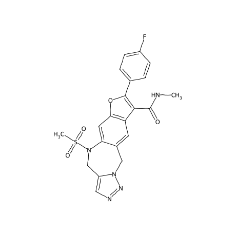 CNC(=O)c1c(-c2ccc(F)cc2)oc2cc3c(cc12)Cn1nncc1CN3S(C)(=O)=O